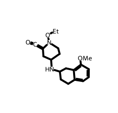 CCON1CCC(NC2CCc3cccc(OC)c3C2)CC1=C=O